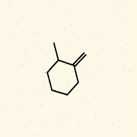 C=C1CCC[CH]C1C